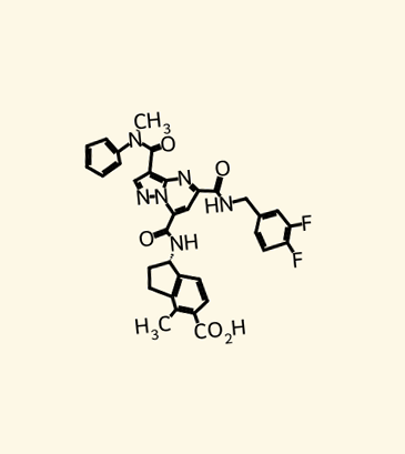 Cc1c(C(=O)O)ccc2c1CC[C@@H]2NC(=O)c1cc(C(=O)NCc2ccc(F)c(F)c2)nc2c(C(=O)N(C)c3ccccc3)cnn12